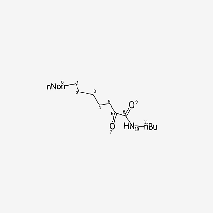 CCCCCCCCCCCCCCC(=O)C(=O)NCCCC